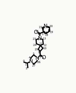 CC(C)N1CCN(C(=O)C2CC3(CCN(C(=O)c4cccnc4)CC3)C2)CC1